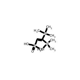 C[Si](C)(C)C(=CP(=O)(O)O)[Si](C)(C)C